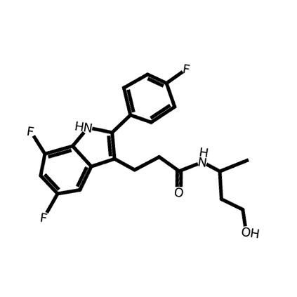 CC(CCO)NC(=O)CCc1c(-c2ccc(F)cc2)[nH]c2c(F)cc(F)cc12